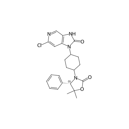 CC1(C)OC(=O)N(C2CCC(n3c(=O)[nH]c4cnc(Cl)cc43)CC2)[C@H]1c1ccccc1